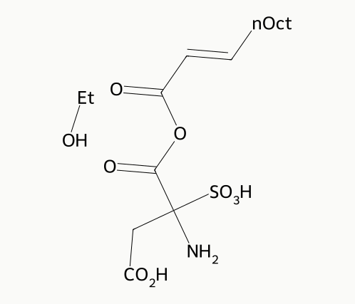 CCCCCCCCC=CC(=O)OC(=O)C(N)(CC(=O)O)S(=O)(=O)O.CCO